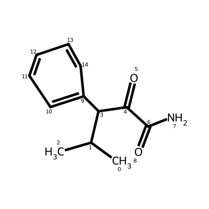 CC(C)C(C(=O)C(N)=O)c1ccccc1